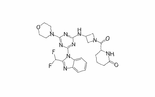 O=C1CCCC(C(=O)N2CC(Nc3nc(N4CCOCC4)nc(-n4c(C(F)F)nc5ccccc54)n3)C2)N1